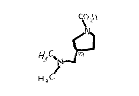 CN(C)C[C@@H]1CCN(C(=O)O)C1